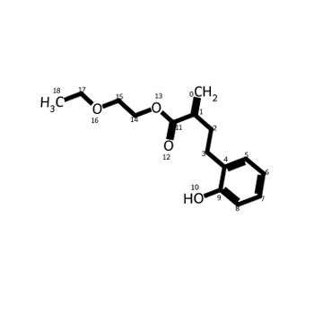 C=C(CCc1ccccc1O)C(=O)OCCOCC